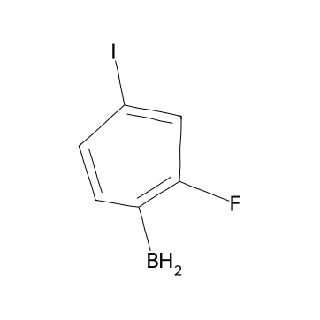 Bc1ccc(I)cc1F